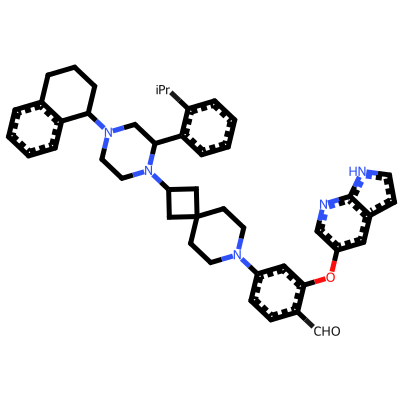 CC(C)c1ccccc1C1CN(C2CCCc3ccccc32)CCN1C1CC2(CCN(c3ccc(C=O)c(Oc4cnc5[nH]ccc5c4)c3)CC2)C1